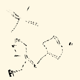 C=C(C)C(=C)C.CC(C)CP(CC(C)C)(CC(C)C)=NC1=CC=CC1.[Ti]